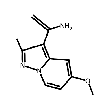 C=C(N)c1c(C)nn2ccc(OC)cc12